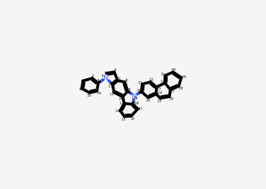 c1ccc(-n2ccc3cc4c(cc32)c2ccccc2n4-c2ccc3c(ccc4ccccc43)c2)cc1